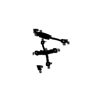 CC#N.[K+].[K+].[O]=[Mn](=[O])([O-])[O-]